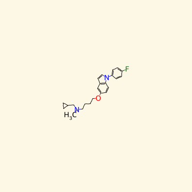 CN(CCCCOc1ccc2c(ccn2-c2ccc(F)cc2)c1)CC1CC1